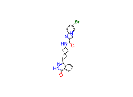 O=C(N[C@H]1CC2(C1)C[C@H](c1n[nH]c(=O)c3ccccc31)C2)c1cn2cc(Br)ccc2n1